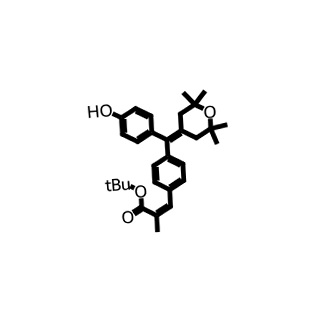 CC(=Cc1ccc(C(=C2CC(C)(C)OC(C)(C)C2)c2ccc(O)cc2)cc1)C(=O)OC(C)(C)C